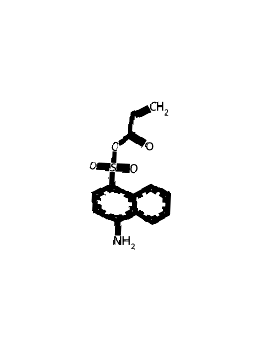 C=CC(=O)OS(=O)(=O)c1ccc(N)c2ccccc12